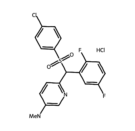 CNc1ccc(C(c2cc(F)ccc2F)S(=O)(=O)c2ccc(Cl)cc2)nc1.Cl